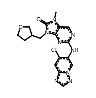 Cn1c(=O)n(CC2CCOC2)c2nc(Nc3cn4ncnc4cc3Cl)ncc21